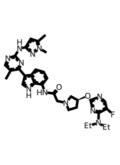 CCN(CC)c1nc(O[C@H]2CCN(CC(=O)Nc3cccc4c(-c5nc(Nc6cc(C)n(C)n6)ncc5C)c[nH]c34)C2)ncc1F